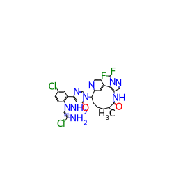 CC1CCCC(n2cnc(-c3cc(Cl)ccc3N(N)/C=C(\N)Cl)cc2=O)c2cc(ccn2)-c2c(cnn2C(F)F)NC1=O